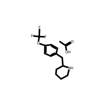 CC(=O)O.FC(F)(F)Oc1ccc(CC2CCCCN2)cc1